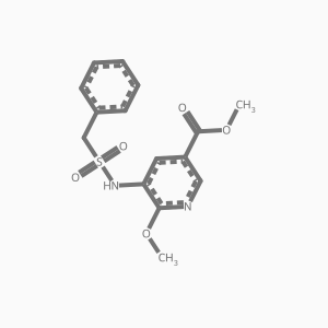 COC(=O)c1cnc(OC)c(NS(=O)(=O)Cc2ccccc2)c1